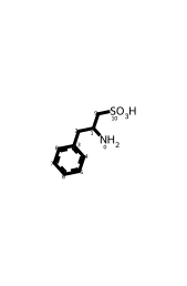 NC(Cc1ccccc1)CS(=O)(=O)O